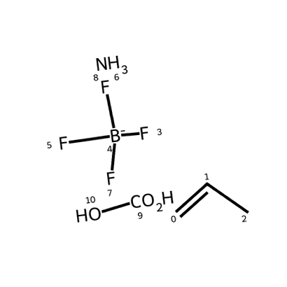 C=CC.F[B-](F)(F)F.N.O=C(O)O